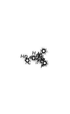 Cc1ccc(O)c(CN2CCN(c3c(C)n(Cc4c(F)cccc4F)c(=O)n(CC(N)c4ccccc4)c3=O)CC2)c1